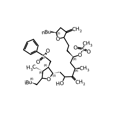 C=C1C[C@H](CCCC)OC1CC[C@H](C[C@@H](C)C(=C)C(O)C[C@@H]1OC(C[C@H](C)CC)[C@H](C)[C@H]1CS(=O)(=O)c1ccccc1)OS(C)(=O)=O